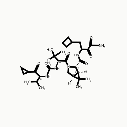 CC(C)[C@H](NC(=O)N[C@H](C(=O)N1C[C@H]2[C@@H]([C@H]1C(=O)NC(CC1CCC1)C(=O)C(N)=O)C2(C)C)C(C)(C)C)C(=O)C1CC1